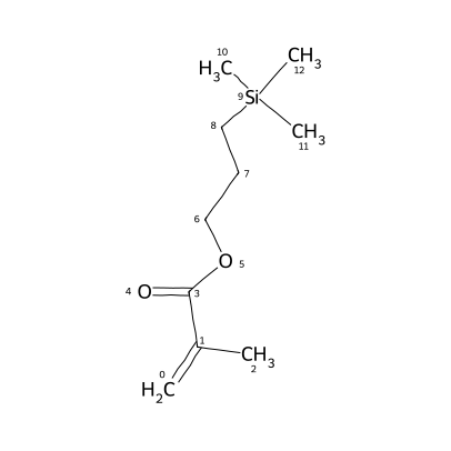 C=C(C)C(=O)OCCC[Si](C)(C)C